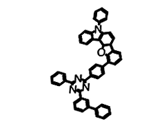 C1=CC2c3cccc(-c4ccc(-c5nc(-c6ccccc6)nc(-c6cccc(-c7ccccc7)c6)n5)cc4)c3OC2c2c1n(-c1ccccc1)c1ccccc21